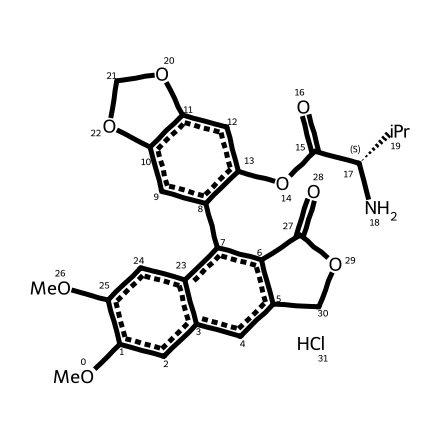 COc1cc2cc3c(c(-c4cc5c(cc4OC(=O)[C@@H](N)C(C)C)OCO5)c2cc1OC)C(=O)OC3.Cl